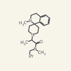 CC(C)CN(C)C(=O)C(C)N1CCC2(CC1)c1ccccc1CCN2C